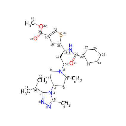 C=C1CC(n2c(C)nnc2C(C)C)CCN1CC[C@H](NC(=O)C1CCCCC1)c1cc(C(=O)OC)cs1